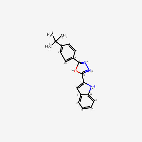 CC(C)(C)c1ccc(-c2nnc(-c3cc4ccccc4[nH]3)o2)cc1